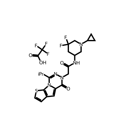 CC(C)c1nn(CC(=O)NC2CN(C3CC3)CC(F)(F)C2)c(=O)c2cc3ccsc3n12.O=C(O)C(F)(F)F